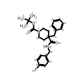 CC(C)(C)OC(=O)N1CCC(Cc2ccccc2)(C(=O)NCc2ccc(F)cc2)CC1